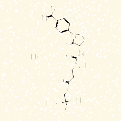 CC(C)(C)COC(=O)CCNC(=O)N[C@H]1CCN(c2ccc(C(=N)N)cc2)C1=O.Cl